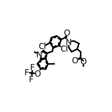 COC(=O)CC1CCN(C(=O)c2ccc(Cl)c(Cc3cn(C)c4cc(OC(F)(F)F)cc(C)c34)c2Cl)CC1